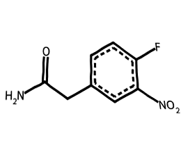 NC(=O)Cc1ccc(F)c([N+](=O)[O-])c1